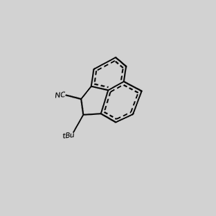 CC(C)(C)C1c2cccc3cccc(c23)C1C#N